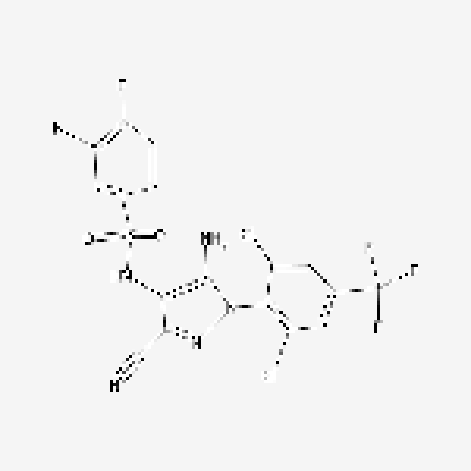 N#Cc1nn(-c2c(Cl)cc(C(F)(F)F)cc2Cl)c(N)c1NS(=O)(=O)c1ccc(F)c(F)c1